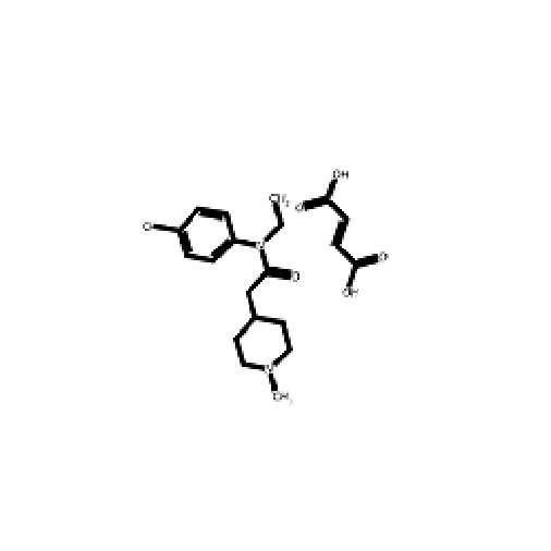 CCN(C(=O)CC1CCN(C)CC1)c1ccc(Cl)cc1.O=C(O)/C=C/C(=O)O